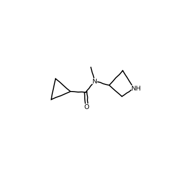 CN(C(=O)C1CC1)C1CNC1